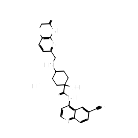 Cl.N#Cc1ccc2nccc(NC(=O)C3(O)CCC(NCc4ccc5c(n4)NC(=O)CS5)CC3)c2c1